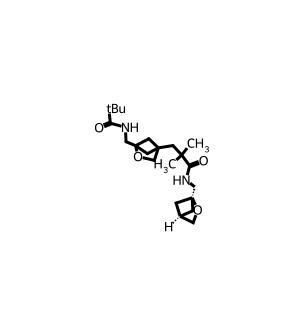 CC(C)(C)C(=O)NCC12CC(CC(C)(C)C(=O)NC[C@]34C[C@H](CO3)C4)(CO1)C2